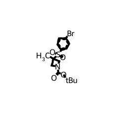 CC(C)(C)OC(=O)N1CC(C)(S(=O)(=O)c2ccc(Br)cc2)C1